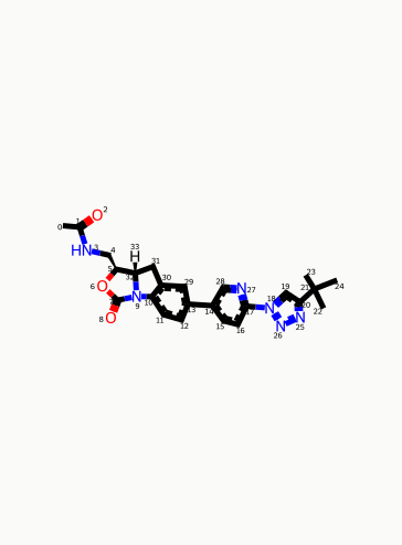 CC(=O)NC[C@@H]1OC(=O)N2c3ccc(-c4ccc(-n5cc(C(C)(C)C)nn5)nc4)cc3C[C@@H]12